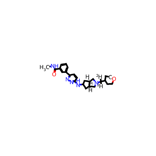 [2H]C([2H])(C1CCOCC1)N1C[C@H]2CC(Nc3ccc(-c4cccc(C(=O)NC)c4)nn3)C[C@H]2C1